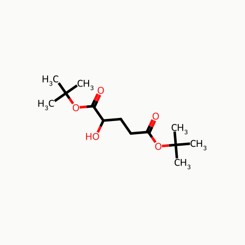 CC(C)(C)OC(=O)CCC(O)C(=O)OC(C)(C)C